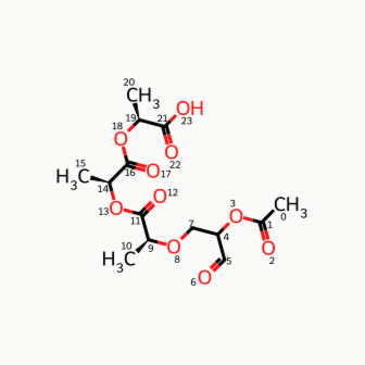 CC(=O)OC(C=O)CO[C@@H](C)C(=O)O[C@@H](C)C(=O)O[C@@H](C)C(=O)O